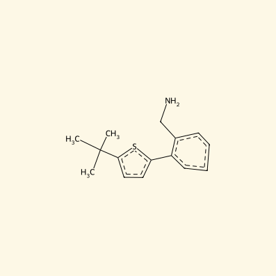 CC(C)(C)c1ccc(-c2ccccc2CN)s1